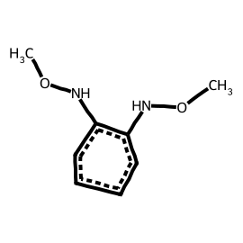 CONc1ccccc1NOC